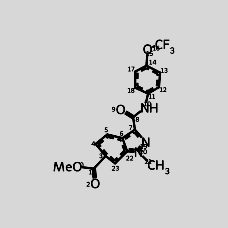 COC(=O)c1ccc2c(C(=O)Nc3ccc(OC(F)(F)F)cc3)nn(C)c2c1